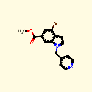 COC(=O)c1cc(Br)c2ccn(Cc3ccncc3)c2c1